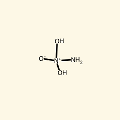 N[N+]([O-])(O)O